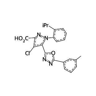 Cc1cccc(-c2nnc(-c3c(Cl)c(C(=O)O)nn3-c3ccccc3C(C)C)o2)c1